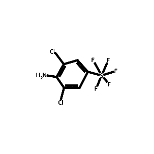 Nc1c(Cl)cc(S(F)(F)(F)(F)F)cc1Cl